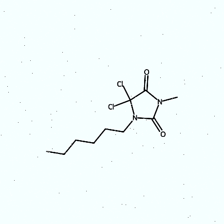 CCCCCCN1C(=O)N(C)C(=O)C1(Cl)Cl